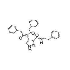 O=C(NCCc1ccccc1)c1n[nH]cc1N(C(=O)Cc1ccccc1)C(=O)Cc1ccccc1